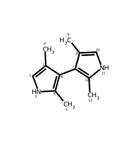 Cc1c[nH]c(C)c1-c1c(C)c[nH]c1C